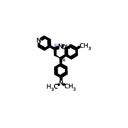 Cc1ccc([C@H](C/C(=N\O)c2ccncc2)c2ccc(N(C)C)cc2)cc1